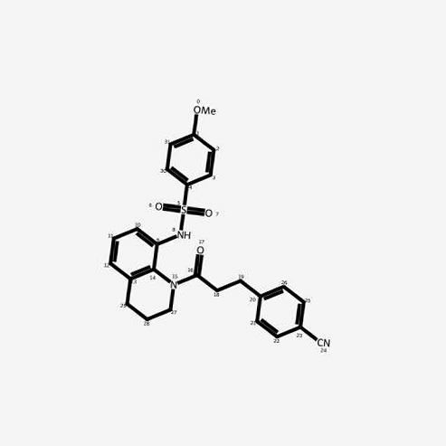 COc1ccc(S(=O)(=O)Nc2cccc3c2N(C(=O)CCc2ccc(C#N)cc2)CCC3)cc1